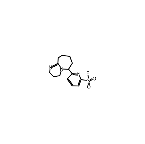 O=S(=O)(F)c1cccc(C2CCCCC3=NCCCN32)n1